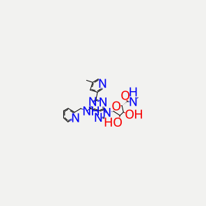 CNC(=O)[C@H]1O[C@@H](n2cnc3c(NCc4ccccn4)nc(-c4cncc(C)c4)nc32)[C@H](O)[C@@H]1O